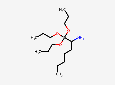 CCCCCC(N)[Si](OCCC)(OCCC)OCCC